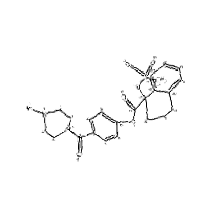 CC(C)N1CCN(C(=O)c2ccc(OC(=O)C3(OS(C)(=O)=O)CCCc4ccccc43)cc2)CC1